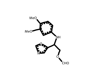 COc1ccc(NC(COC=O)c2cncs2)cc1OC